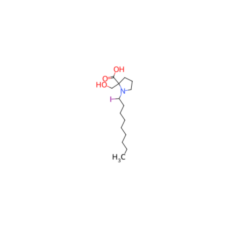 CCCCCCCCC(I)N1CCCC1(CO)C(=O)O